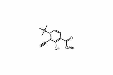 C#Cc1c([Si](C)(C)C)ccc(C(=O)OC)c1O